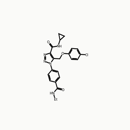 CCNC(=O)c1ccc(-n2nnc(C(=O)NC3CC3)c2COc2ccc(Cl)cc2)cc1